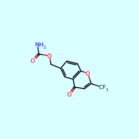 NC(=O)OCc1ccc2oc(C(F)(F)F)cc(=O)c2c1